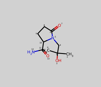 CC(C)(O)CN1C(=O)CCC1C(N)=O